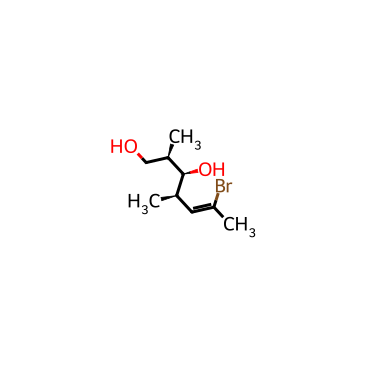 C/C(Br)=C/[C@@H](C)[C@H](O)[C@H](C)CO